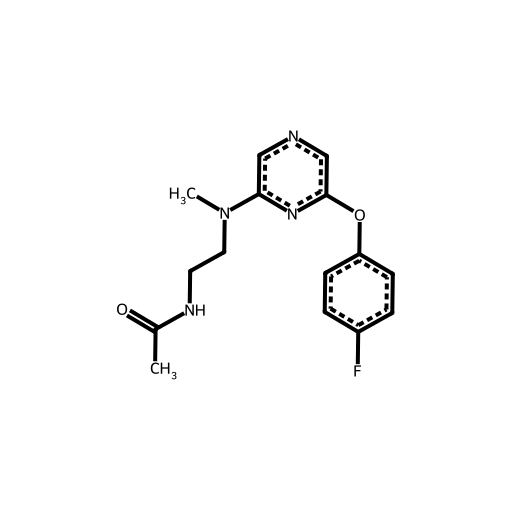 CC(=O)NCCN(C)c1cncc(Oc2ccc(F)cc2)n1